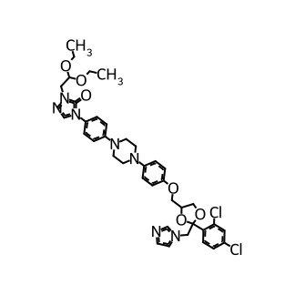 CCOC(Cn1ncn(-c2ccc(N3CCN(c4ccc(OCC5COC(Cn6ccnc6)(c6ccc(Cl)cc6Cl)O5)cc4)CC3)cc2)c1=O)OCC